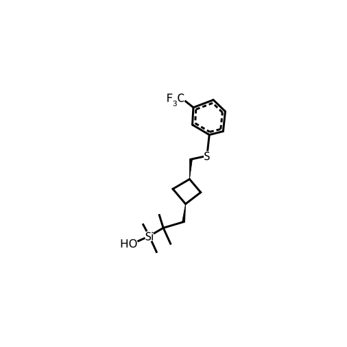 CC(C)(C[C@H]1C[C@@H](CSc2cccc(C(F)(F)F)c2)C1)[Si](C)(C)O